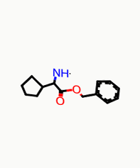 [NH]C(C(=O)OCc1ccccc1)C1CCCC1